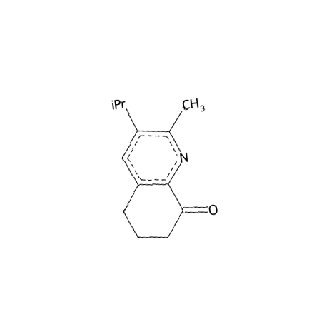 Cc1nc2c(cc1C(C)C)CCCC2=O